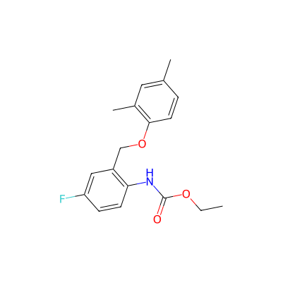 CCOC(=O)Nc1ccc(F)cc1COc1ccc(C)cc1C